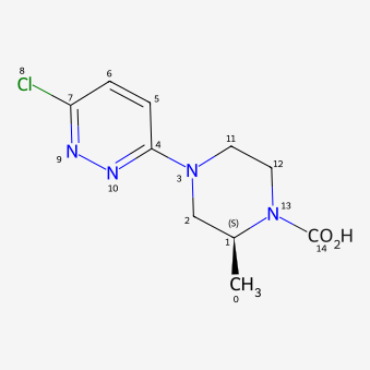 C[C@H]1CN(c2ccc(Cl)nn2)CCN1C(=O)O